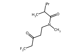 CC(C)C(C)C(=O)N(C)CCC(=O)CC(F)(F)F